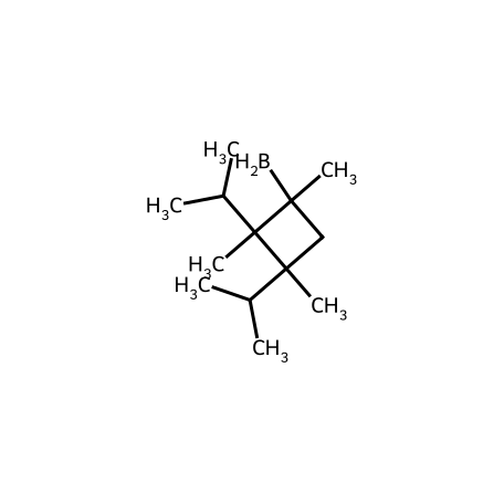 BC1(C)CC(C)(C(C)C)C1(C)C(C)C